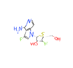 Nc1nccc2c1c(F)cn2[C@@H]1S[C@H](CO)[C@@H](F)[C@H]1O